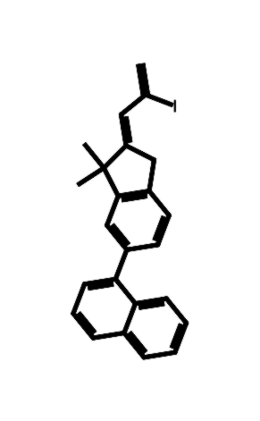 C=C(I)/C=C1\Cc2ccc(-c3cccc4ccccc34)cc2C1(C)C